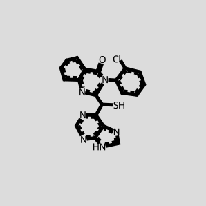 O=c1c2ccccc2nc(C(S)c2ncnc3[nH]cnc23)n1-c1ccccc1Cl